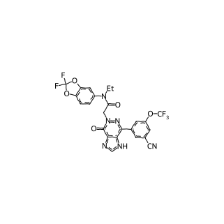 CCN(C(=O)Cn1nc(-c2cc(C#N)cc(OC(F)(F)F)c2)c2[nH]cnc2c1=O)c1ccc2c(c1)OC(F)(F)O2